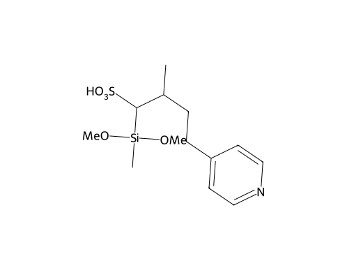 CO[Si](C)(OC)C(C(C)CCc1ccncc1)S(=O)(=O)O